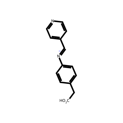 O=C(O)Cc1ccc(/N=C/c2ccncc2)cc1